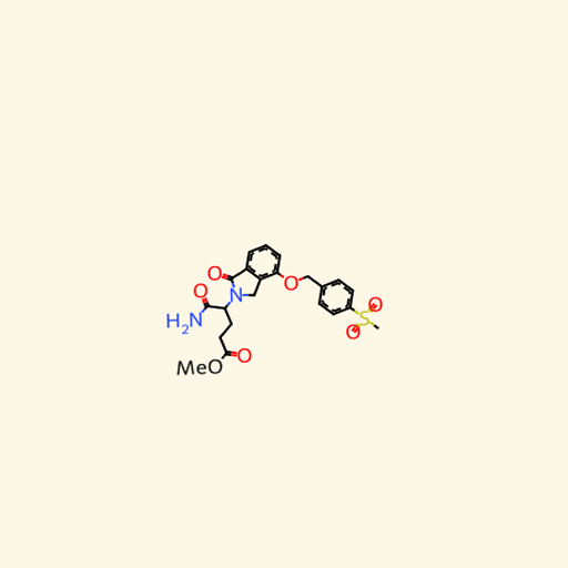 COC(=O)CCC(C(N)=O)N1Cc2c(OCc3ccc(S(C)(=O)=O)cc3)cccc2C1=O